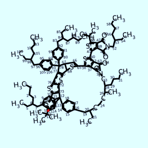 CCCCC(CC)Cc1ccc(C23c4ccc(cc4)CC(CC)CCCC(C)C(CCCC)CN4C(=O)c5c(sc(-c6sc(C(C)C)c7c6C(=O)N(CC(CC)CCCC)C7=O)c5C4=O)C4=CC5C(S4)c4sc6c2c(sc6c4C5(c2ccc(CC(CC)CCCC)cc2)c2ccc(CC(CC)CCCC)cc2)-c2sc(C(C)(C)C)cc23)cc1